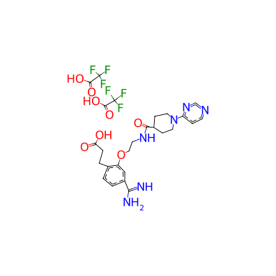 N=C(N)c1ccc(CCC(=O)O)c(OCCNC(=O)C2CCN(c3ccncn3)CC2)c1.O=C(O)C(F)(F)F.O=C(O)C(F)(F)F